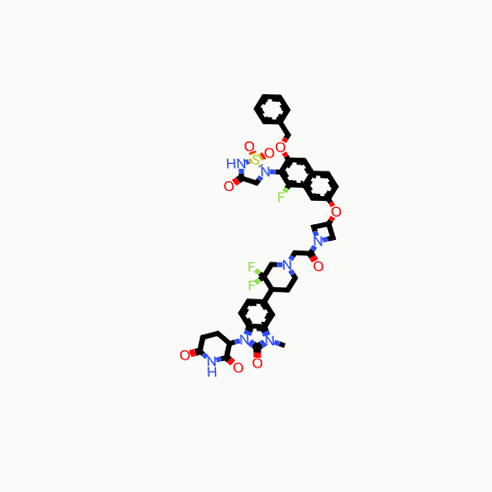 Cn1c(=O)n(C2CCC(=O)NC2=O)c2ccc(C3CCN(CC(=O)N4CC(Oc5ccc6cc(OCc7ccccc7)c(N7CC(=O)NS7(=O)=O)c(F)c6c5)C4)CC3(F)F)cc21